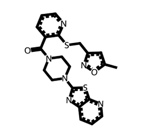 Cc1cc(CSc2ncccc2C(=O)N2CCN(c3nc4cccnc4s3)CC2)no1